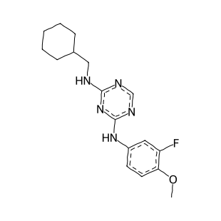 COc1ccc(Nc2ncnc(NCC3CCCCC3)n2)cc1F